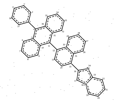 c1ccc(-c2c3ccccc3c(-c3ccc(-c4cn5ccccc5n4)c4ccccc34)c3ccccc23)cc1